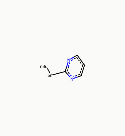 CCC[CH2][Sn][c]1ncccn1